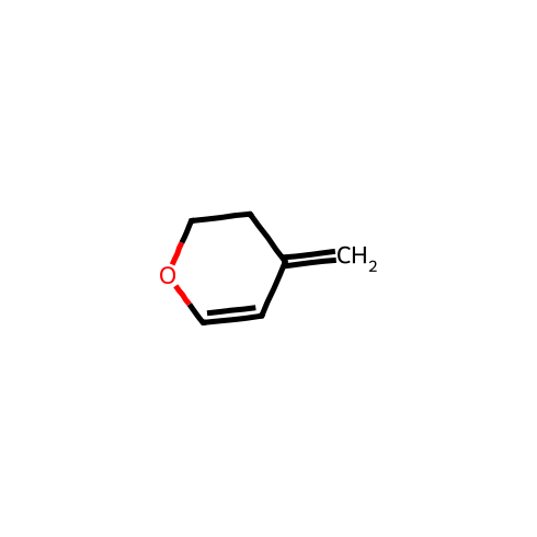 C=C1C=COCC1